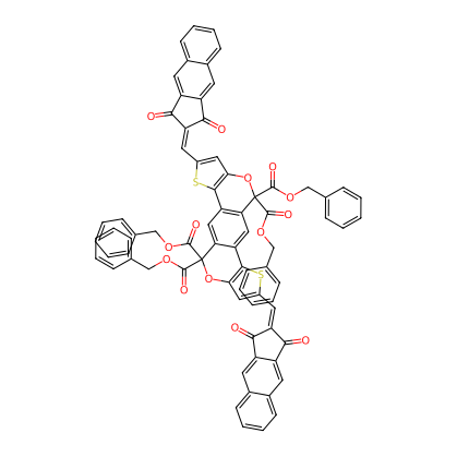 O=C1C(=Cc2cc3c(s2)-c2cc4c(cc2C(C(=O)OCc2ccccc2)(C(=O)OCc2ccccc2)O3)-c2sc(C=C3C(=O)c5cc6ccccc6cc5C3=O)cc2OC4(C(=O)OCc2ccccc2)C(=O)OCc2ccccc2)C(=O)c2cc3ccccc3cc21